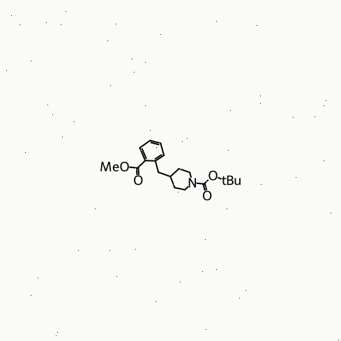 COC(=O)c1ccccc1CC1CCN(C(=O)OC(C)(C)C)CC1